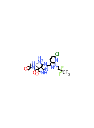 CC1(C(=O)NC2COC2)C(=O)Nc2nc(-c3nn(CCC(F)(F)C(F)(F)F)c4nc(Cl)ccc34)nc(N)c21